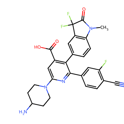 CN1C(=O)C(F)(F)c2cc(-c3c(C(=O)O)cc(N4CCC(N)CC4)nc3-c3ccc(C#N)c(F)c3)ccc21